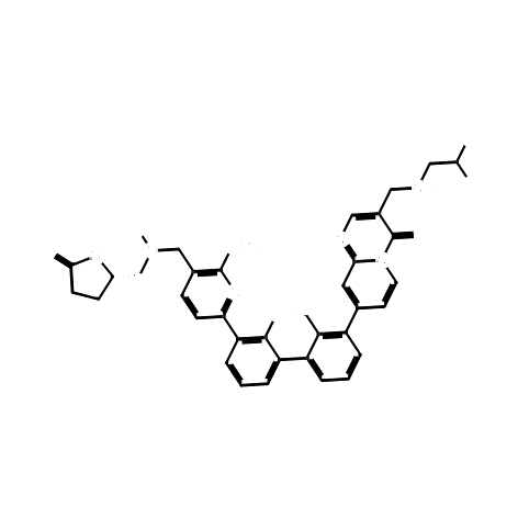 COc1nc(-c2cccc(-c3cccc(-c4ccn5c(=O)c(CNCC(F)F)cnc5c4)c3Cl)c2Cl)ccc1CN(C[C@@H]1CCC(=O)N1)C(=O)O